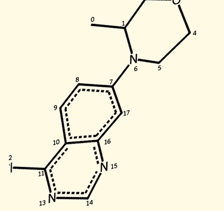 CC1COCCN1c1ccc2c(Cl)ncnc2c1